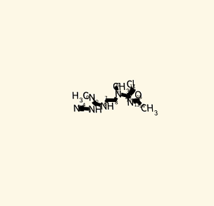 CN=C(NC#N)NCCN(C)c1nc(C)oc1Cl